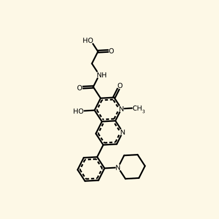 Cn1c(=O)c(C(=O)NCC(=O)O)c(O)c2cc(-c3ccccc3N3CCCCC3)cnc21